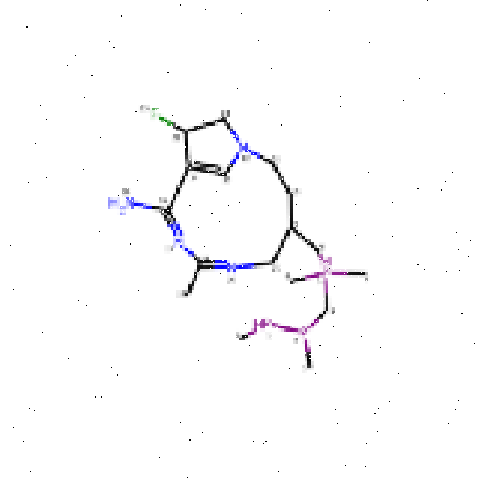 CPP(C)C[PH](C)(C)CC1CCN2C=C(/C(N)=N\C(C)=N/C1)C(F)C2